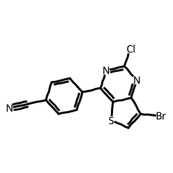 N#Cc1ccc(-c2nc(Cl)nc3c(Br)csc23)cc1